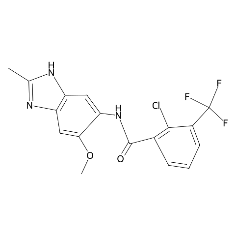 COc1cc2nc(C)[nH]c2cc1NC(=O)c1cccc(C(F)(F)F)c1Cl